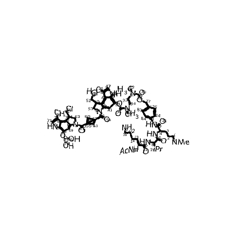 CNCCCC(NC(=O)C(NC(=O)C(CCCCN)NC(C)=O)C(C)C)C(=O)Nc1ccc(COC(=O)N(C)CCN(C)C(=O)Oc2cc3c(c4c(C)c[nH]c24)C(CCl)CN3C(=O)C23CC(C(=O)N4CC(CCl)c5c4cc(OP(O)O)c4[nH]cc(C)c54)(C2)C3)cc1